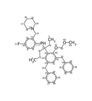 CCCC(CC)(Pc1ccc(F)cc1CN1CCCCC1)c1cc(Cc2ccccc2)cc(Cc2ccccc2)c1OCOC